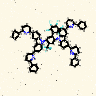 Fc1c(F)c(F)c(-c2cc(-n3c4ccc(-c5cccc(-c6ccccc6)n5)cc4c4cc(-c5cccc(-c6ccccc6)n5)ccc43)c(C(F)(F)F)cc2-n2c3ccc(-c4cccc(-c5ccccc5)n4)cc3c3cc(-c4cccc(-c5ccccc5)n4)ccc32)c(F)c1F